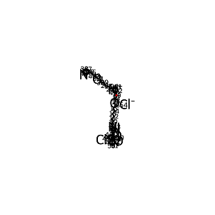 CC(=O)Oc1c(-c2cn(CCCCCCCCOCCCc3ccc[n+](CCCCCCOCCCc4cccnc4)c3)nn2)cc(Cl)c2cccnc12.[Cl-]